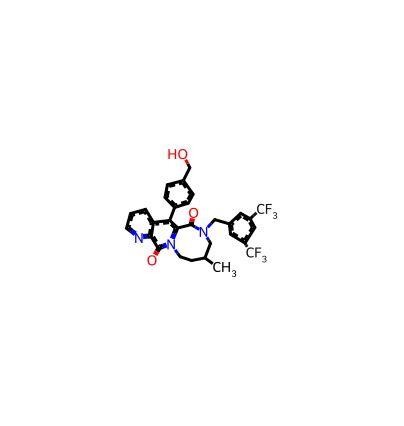 CC1CCn2c(c(-c3ccc(CO)cc3)c3cccnc3c2=O)C(=O)N(Cc2cc(C(F)(F)F)cc(C(F)(F)F)c2)C1